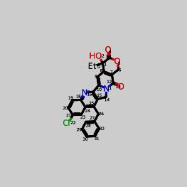 CCC1(O)C(=O)OCc2c1cc1n(c2=O)Cc2c-1nc1ccc(Cl)cc1c2Cc1ccccc1